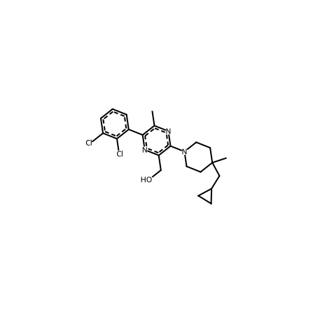 Cc1nc(N2CCC(C)(CC3CC3)CC2)c(CO)nc1-c1cccc(Cl)c1Cl